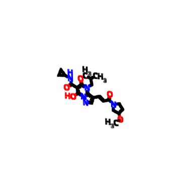 COC1CCN(C(=O)C=Cc2cnn3c(O)c(C(=O)NC4CC4)c(=O)n(CC(C)C)c23)C1